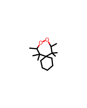 CC1OOC(C)C(C)(C)C2(CCCCC2)C1(C)C